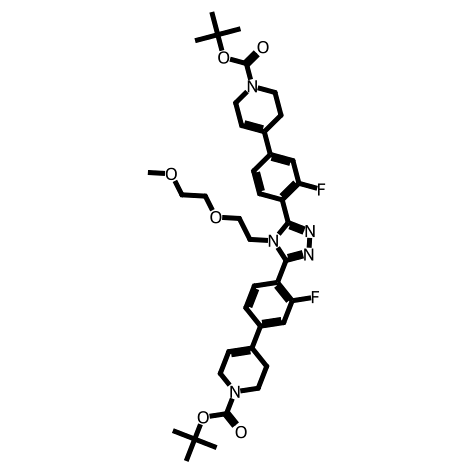 COCCOCCn1c(-c2ccc(C3=CCN(C(=O)OC(C)(C)C)CC3)cc2F)nnc1-c1ccc(C2=CCN(C(=O)OC(C)(C)C)CC2)cc1F